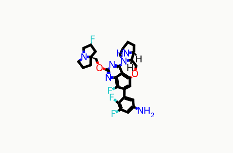 Nc1cc(F)c(F)c(-c2cc3c4c(nc(OC[C@@]56CCCN5C[C@H](F)C6)nc4c2F)N2CC4CC[C@@H](N4)[C@@H]2CO3)c1